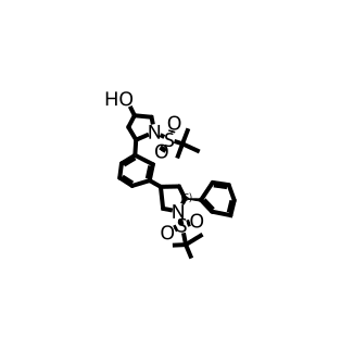 CC(C)(C)S(=O)(=O)N1CC(O)CC1c1cccc(C2C[C@@H](c3ccccc3)N(S(=O)(=O)C(C)(C)C)C2)c1